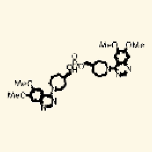 COc1cc2ncnc(N3CCC/C(=C\O[PH](=O)O/C=C4\CCCN(c5ncnc6cc(OC)c(OC)cc56)CC4)CC3)c2cc1OC